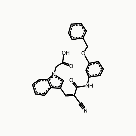 N#CC(=Cc1cn(CC(=O)O)c2ccccc12)C(=O)Nc1cccc(OCc2ccccc2)c1